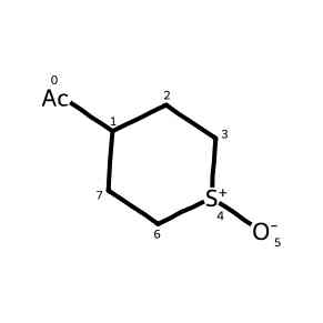 CC(=O)C1CC[S+]([O-])CC1